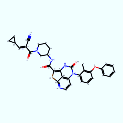 Cc1c(Oc2ccccc2)cccc1N1C(=O)Nc2c(C(=O)NC3CCCN(C(=O)/C(C#N)=C/C4CC4)C3)sc3nccc1c23